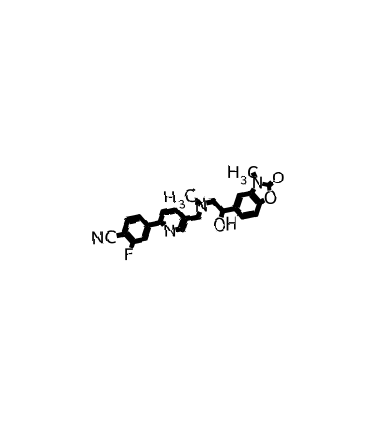 CN(Cc1ccc(-c2ccc(C#N)c(F)c2)nc1)CC(O)c1ccc2oc(=O)n(C)c2c1